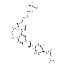 CS(=O)(=O)CCCOc1ccc2c(c1)CCOc1ccc(CNc3ccc([C@H]4C[C@@H]4C(=O)O)cc3)cc1-2